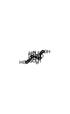 Cc1ccc(NC(=O)C(=O)Nc2ccc(C)c(C(=O)Nc3cc4cc(O)ccc4cc3S(=O)(=O)O)c2)cc1C(=O)Nc1cc2cc(O)ccc2cc1S(=O)(=O)O